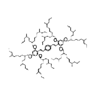 CCCC(C)CCCCC(CCC(C)CCC)COc1cc(OCC(CCCCC(C)CCC)CCC(C)CCC)c(/C=C/c2ccc(/C=C/c3c(OCC(CCCCC(C)CCC)CCC(C)CCC)cc(OCC(CCCCC(C)CCC)CCC(C)CCC)cc3OCC(CCCCC(C)CCC)CCC(C)CCC)cc2)c(OCC(CCCCC(C)CCC)CCC(C)CCC)c1